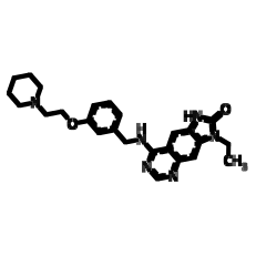 CCn1c(=O)[nH]c2cc3c(NCc4cccc(OCCN5CCCCC5)c4)ncnc3cc21